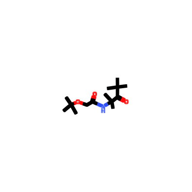 CC(C)(C)OCC(=O)NC(C)(C)C(=O)C(C)(C)C